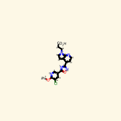 CC(C)Oc1ncc(-c2nc(-c3ccnc4c3ccn4CCC(=O)O)no2)cc1Cl